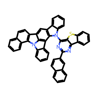 c1ccc2cc(-c3nc(-n4c5ccccc5c5cc6c7ccc8ccccc8c7n7c8ccccc8c(c54)c67)c4sc5ccccc5c4n3)ccc2c1